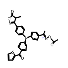 CC(=O)O/N=C(\C)c1ccc(N(c2ccc(C(=O)c3cccs3)cc2)c2ccc(C3=NOC(=O)C3C)cc2)cc1